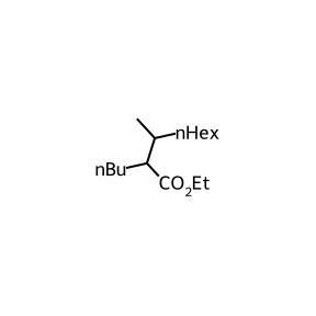 CCCCCCC(C)C(CCCC)C(=O)OCC